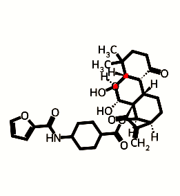 C=C1C(=O)[C@]23[C@H](OC(=O)C4CCC(NC(=O)c5ccco5)CC4)[C@H]1CC[C@H]2[C@@]12CO[C@@]3(O)[C@@H](O)[C@@H]1C(C)(C)CCC2=O